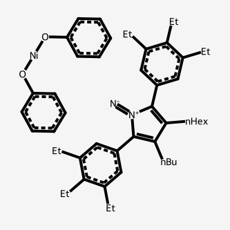 CCCCCCC1=C(c2cc(CC)c(CC)c(CC)c2)[N+](=[N-])C(c2cc(CC)c(CC)c(CC)c2)=C1CCCC.c1ccc([O][Ni][O]c2ccccc2)cc1